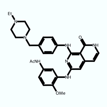 CCN1CCN(Cc2ccc(Nc3nc(Nc4cc(NC(C)=O)ccc4OC)cc4cc[nH]c(=O)c34)cc2)CC1